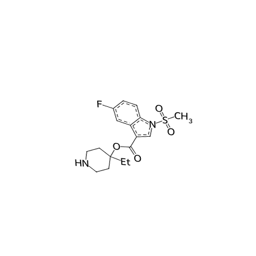 CCC1(OC(=O)c2cn(S(C)(=O)=O)c3ccc(F)cc23)CCNCC1